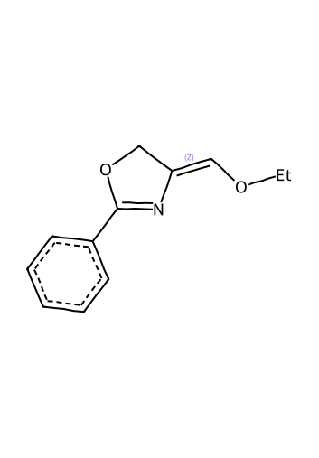 CCO/C=C1/COC(c2ccccc2)=N1